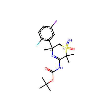 CC(C)(C)OC(=O)NC1=N[C@](C)(c2cc(I)ccc2F)C[S@@](=N)(=O)C1(C)C